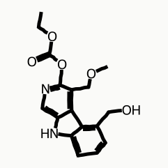 CCOC(=O)Oc1ncc2[nH]c3cccc(CO)c3c2c1COC